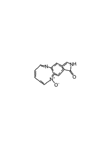 O=C1NC=c2cc3/c(cc21)=[N+](/[O-])C=CC=CC=N3